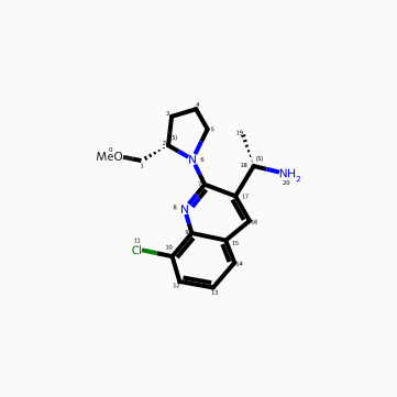 COC[C@@H]1CCCN1c1nc2c(Cl)cccc2cc1[C@H](C)N